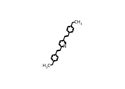 CCc1ccc(C=Cc2ccc(C=Cc3ccc(CC)cc3)nc2)cc1